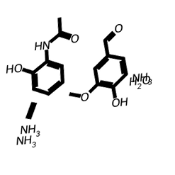 C=C.CC(=O)Nc1ccccc1O.COc1cc(C=O)ccc1O.N.N.N.O